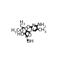 COC(C)O[C@@H]1[C@H](O)[C@@H](CO)O[C@H]1n1cc(C)c(N)nc1=O